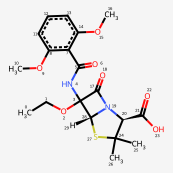 CCOC1(NC(=O)c2c(OC)cccc2OC)C(=O)N2[C@@H](C(=O)O)C(C)(C)S[C@@H]21